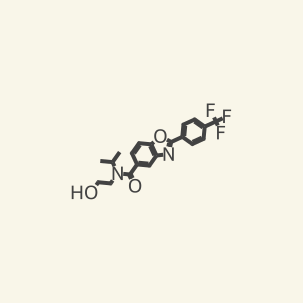 CC(C)N(CCO)C(=O)c1ccc2oc(-c3ccc(C(F)(F)F)cc3)nc2c1